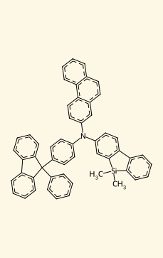 C[Si]1(C)c2ccccc2-c2ccc(N(c3ccc(C4(c5ccccc5)c5ccccc5-c5ccccc54)cc3)c3ccc4c(ccc5ccccc54)c3)cc21